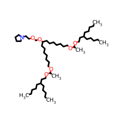 CCCCCC(CCCCC)CCOC(C)OCCCCCCCC(CCCCCCCOC(C)OCCC(CCCCC)CCCCC)OCOCCN1CCCC1